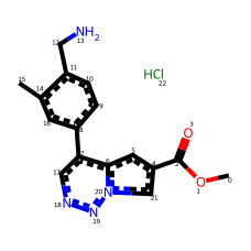 COC(=O)c1cc2c(-c3ccc(CN)c(C)c3)cnnn2c1.Cl